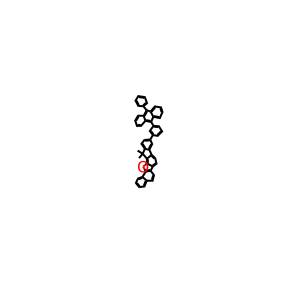 CC1(C)c2ccc(-c3cccc(-c4c5ccccc5c(-c5ccccc5)c5ccccc45)c3)cc2-c2ccc3c(oc4c5ccccc5ccc34)c21